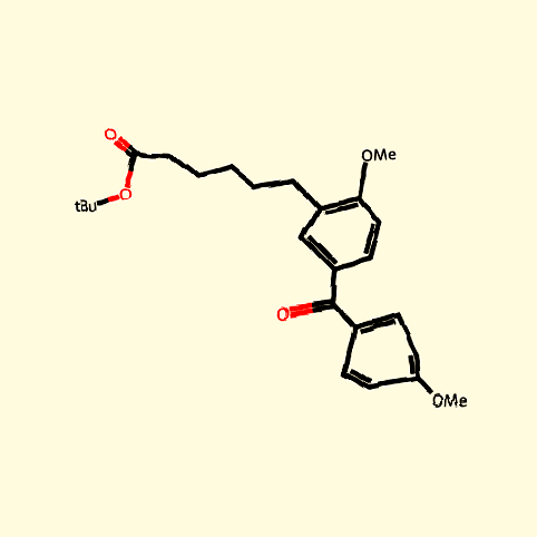 COc1ccc(C(=O)c2ccc(OC)c(CCCCCC(=O)OC(C)(C)C)c2)cc1